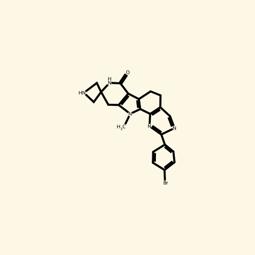 Cn1c2c(c3c1-c1nc(-c4ccc(Br)cc4)ncc1CC3)C(=O)NC1(CNC1)C2